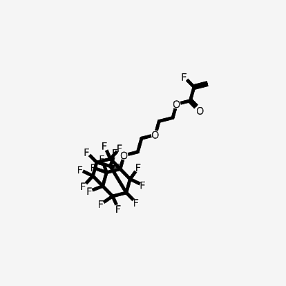 C=C(F)C(=O)OCCOCCOC12C(F)(F)C3(F)C(F)(F)C(F)(C(F)(F)C(F)(C3(F)F)C1(F)F)C2(F)F